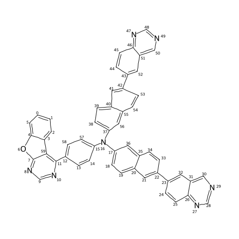 c1ccc2c(c1)oc1ncnc(-c3ccc(N(c4ccc5cc(-c6ccc7ncncc7c6)ccc5c4)c4ccc5cc(-c6ccc7ncncc7c6)ccc5c4)cc3)c12